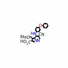 COCc1c(C(=O)O)cn2ncc(C#N)c(Nc3ccc(Oc4ccccc4)cc3)c12